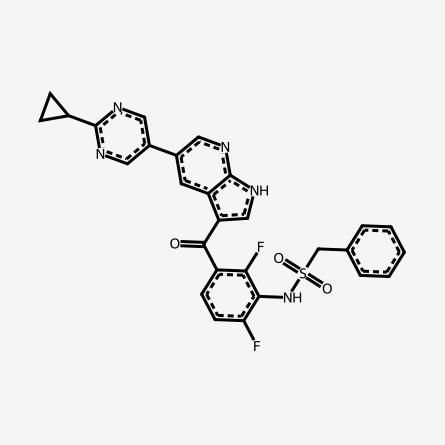 O=C(c1ccc(F)c(NS(=O)(=O)Cc2ccccc2)c1F)c1c[nH]c2ncc(-c3cnc(C4CC4)nc3)cc12